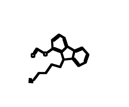 O=COc1cccc2c1C(CCCCBr)c1ccccc1-2